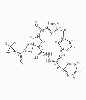 CC1(C)C[C@@H]1C(=O)N1CC2(CN(C(=O)c3cnn(Cc4ccccc4)c3)CC2C(=O)NNC(=O)Cc2cncnc2)C1